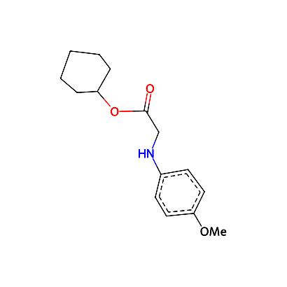 COc1ccc(NCC(=O)OC2CCCCC2)cc1